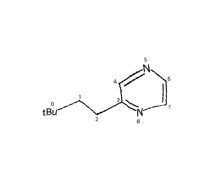 CC(C)(C)CCc1cnccn1